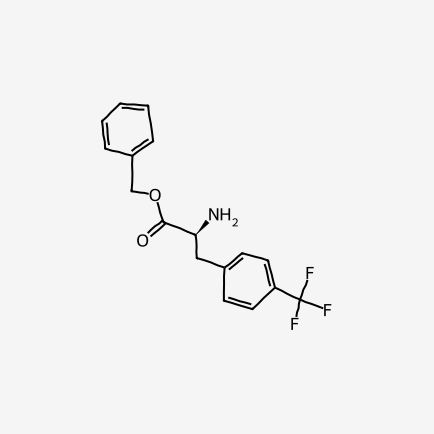 N[C@@H](Cc1ccc(C(F)(F)F)cc1)C(=O)OCc1ccccc1